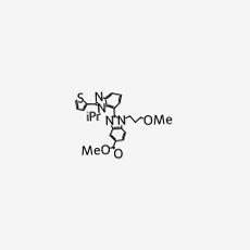 COCCCn1c(-c2cccc3nc(-c4cccs4)n(C(C)C)c23)nc2cc(C(=O)OC)ccc21